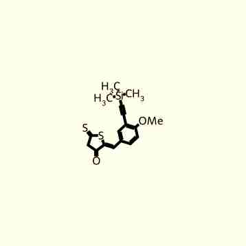 COc1ccc(/C=C2\SC(=S)CC2=O)cc1C#C[Si](C)(C)C